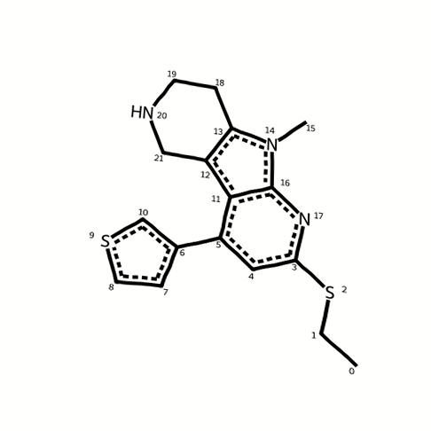 CCSc1cc(-c2ccsc2)c2c3c(n(C)c2n1)CCNC3